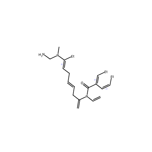 C=CN(C(=C)CC=CC/C=C(\CC)N(C)CN)C(=O)C(/C=C\CC)=C/CC